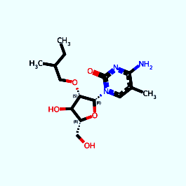 CCC(C)CO[C@H]1C(O)[C@@H](CO)O[C@H]1n1cc(C)c(N)nc1=O